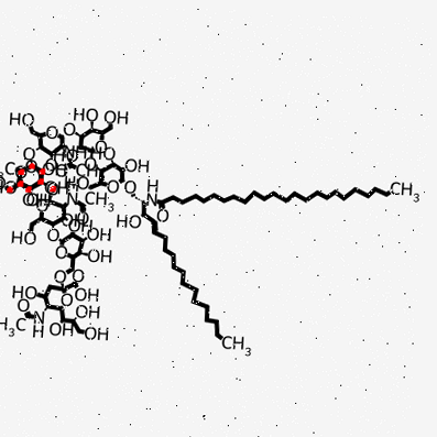 CCCCCCCCCCCCC/C=C/[C@@H](O)[C@H](CO[C@@H]1OC(CO)[C@@H](O[C@@H]2OC(CO)[C@H](O)[C@H](O[C@@H]3OC(CO)[C@@H](O[C@@H]4OC(CO)[C@H](O)[C@H](O[C@@H]5OC(CO)[C@@H](O[C@@H]6OC(CO[C@]7(C(=O)O)CC(O)[C@@H](NC(C)=O)C([C@H](O)[C@H](O)CO)O7)[C@H](O)[C@H](O)C6O)[C@H](O)C5NC(C)=O)C4O)[C@H](O[C@H]4OC(C)[C@@H](O)C(O)[C@@H]4O)C3NC(C)=O)C2O)[C@H](O)C1O)NC(=O)CCCCCCCCCCCCCCCCCCCCCCC